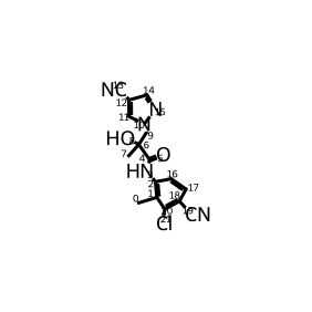 Cc1c(NC(=O)C(C)(O)Cn2cc(C#N)cn2)ccc(C#N)c1Cl